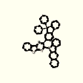 c1ccc(C2(c3ccccc3)c3ccccc3-c3ccc(-c4nc5c(nc4-n4c6ccccc6c6cc7ccccc7cc64)oc4ccccc45)cc32)cc1